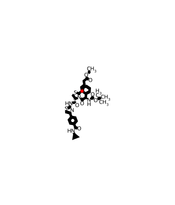 CCOC(=O)CCCCC1SC[C@@H](C(=O)Nc2nc(-c3ccc(C(=O)NC4CC4)cc3)cs2)N1C(=O)[C@H](NC(=O)OC(C)(C)C)C1=CC=CCC1